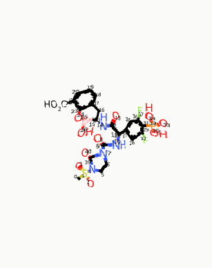 CS(=O)(=O)N1CCN(C(=O)N[C@@H](C(=O)N[C@H]2Cc3cccc(C(=O)O)c3OB2O)c2cc(F)c(P(=O)(O)O)c(F)c2)C1=O